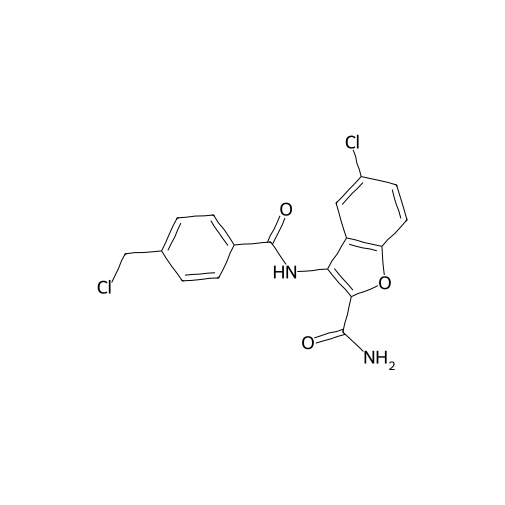 NC(=O)c1oc2ccc(Cl)cc2c1NC(=O)c1ccc(CCl)cc1